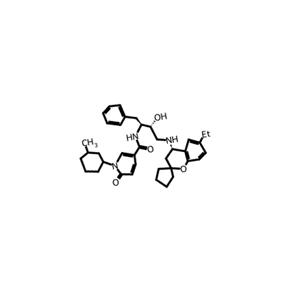 CCc1ccc2c(c1)[C@@H](NC[C@@H](O)[C@H](Cc1ccccc1)NC(=O)c1ccc(=O)n(C3CCCC(C)C3)c1)CC1(CCCC1)O2